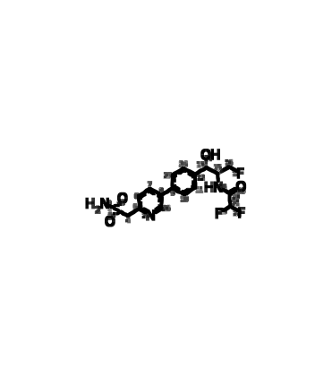 NS(=O)(=O)Cc1ccc(-c2ccc([C@H](O)[C@@H](CF)NC(=O)C(F)F)cc2)cn1